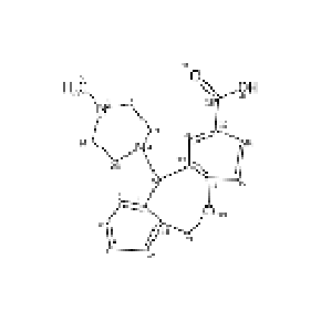 CN1CCN(C2c3ccccc3COc3ccc(C(=O)O)cc32)CC1